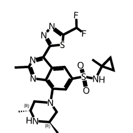 Cc1nc(-c2nnc(C(F)F)s2)c2cc(S(=O)(=O)NC3(C)CC3)cc(N3C[C@@H](C)N[C@H](C)C3)c2n1